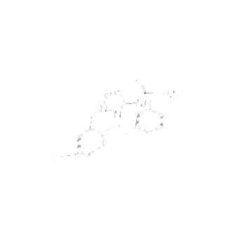 COC(=O)Nc1cc(C)n(Cc2cc(Cl)ccc2OCc2ccccc2)n1